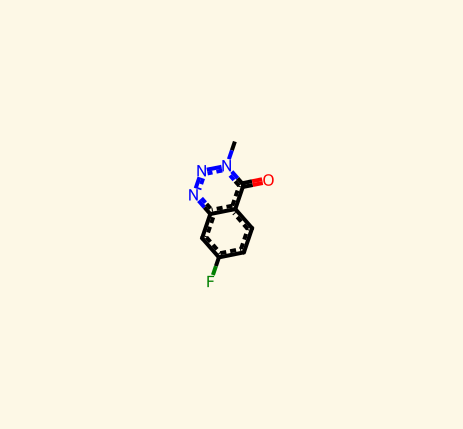 Cn1nnc2cc(F)ccc2c1=O